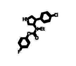 CCN(C(=O)Oc1ccc(F)cc1)C1CNCC1c1ccc(Cl)cc1